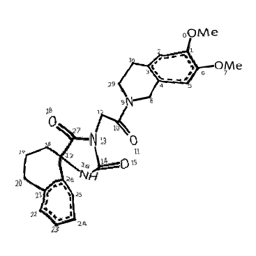 COc1cc2c(cc1OC)CN(C(=O)CN1C(=O)NC3(CCCc4ccccc43)C1=O)CC2